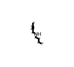 [CH2]CCCNCC#CC